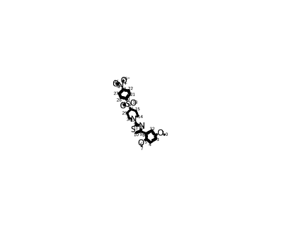 COc1ccc(OC)c(-c2csc(N3CCC(S(=O)(=O)c4ccc([N+](=O)[O-])cc4)CC3)n2)c1